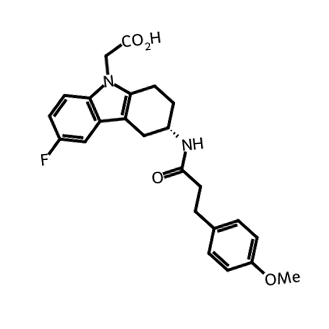 COc1ccc(CCC(=O)N[C@H]2CCc3c(c4cc(F)ccc4n3CC(=O)O)C2)cc1